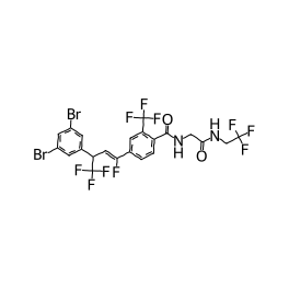 O=C(CNC(=O)c1ccc(C(F)=CC(c2cc(Br)cc(Br)c2)C(F)(F)F)cc1C(F)(F)F)NCC(F)(F)F